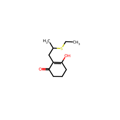 CCSC(C)CC1=C(O)CCCC1=O